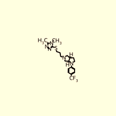 Cc1nnc(SCCCN2C[C@H]3CCN(c4ccc(C(F)(F)F)cc4)[C@H]3C2)n1C